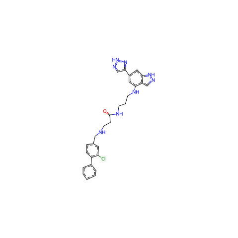 O=C(CCNCc1ccc(-c2ccccc2)c(Cl)c1)NCCCNc1cc(-c2cn[nH]n2)cc2[nH]ncc12